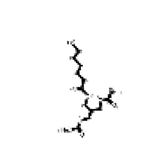 CCCCCCC(=O)OCC(COC(=O)CCCCCC)COC(=O)CCCCCBr